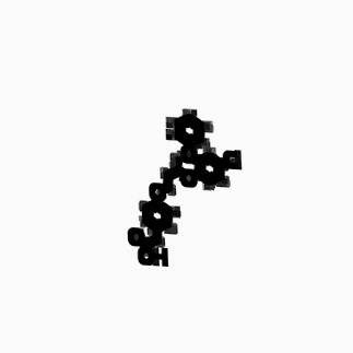 C[C@H](CCOc1ccc(CC(=O)O)cc1)Oc1ccc(Cl)cc1Oc1ccccc1